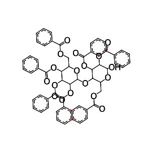 O=C(OCC1OC(O)C(OC(=O)c2ccccc2)C(OC(=O)c2ccccc2)C1OC1OC(COC(=O)c2ccccc2)C(OC(=O)c2ccccc2)C(OC(=O)c2ccccc2)C1OC(=O)c1ccccc1)c1ccccc1